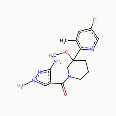 COC1(c2ncc(Cl)cc2C)CCCN(C(=O)c2cn(C)nc2N)C1